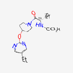 CCc1cnc(OC2CCN(C(=O)[C@@H](NC(=O)O)C(C)C)CC2)nc1